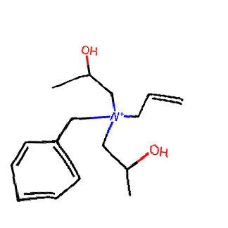 C=CC[N+](Cc1ccccc1)(CC(C)O)CC(C)O